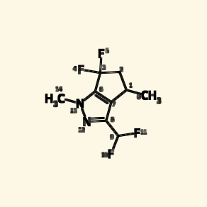 CC1CC(F)(F)c2c1c(C(F)F)nn2C